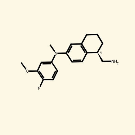 COc1cc(N(C)c2ccc3c(c2)CCC[C@H]3CN)ccc1F